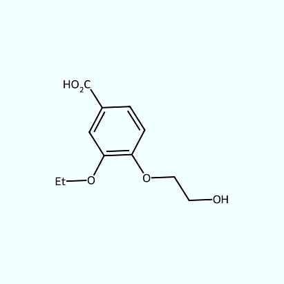 CCOc1cc(C(=O)O)ccc1OCCO